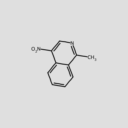 Cc1ncc([N+](=O)[O-])c2ccccc12